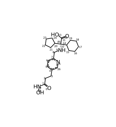 O=C(CCc1ccc(CN[C@](C(=O)O)(C2CCCCC2)C2CCCC2)nc1)NO